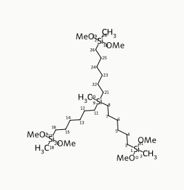 CO[Si](C)(CCCCCC[Si](C)(CCCCCC[Si](C)(OC)OC)CCCCCC[Si](C)(OC)OC)OC